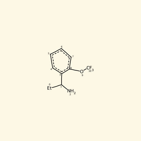 CCC(N)c1ccccc1OC(F)(F)F